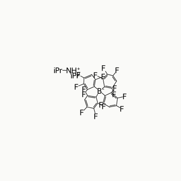 CC(C)[NH2+]C(C)C.Fc1cc(F)c([B-](c2c(F)cc(F)c(F)c2F)(c2c(F)cc(F)c(F)c2F)c2c(F)cc(F)c(F)c2F)c(F)c1F